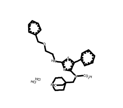 Cl.Cl.O=C(O)N(CC12CCN(CC1)CC2)c1nc(NCCOCc2ccccc2)sc1-c1ccccc1